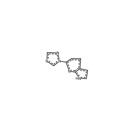 c1ncn(-c2ccc3cc[nH]c3n2)n1